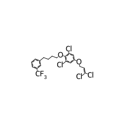 FC(F)(F)c1cccc(CCCCOc2c(Cl)cc(OCC=C(Cl)Cl)cc2Cl)c1